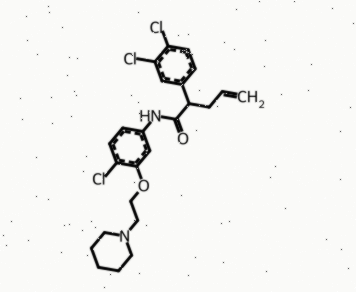 C=CCC(C(=O)Nc1ccc(Cl)c(OCCN2CCCCC2)c1)c1ccc(Cl)c(Cl)c1